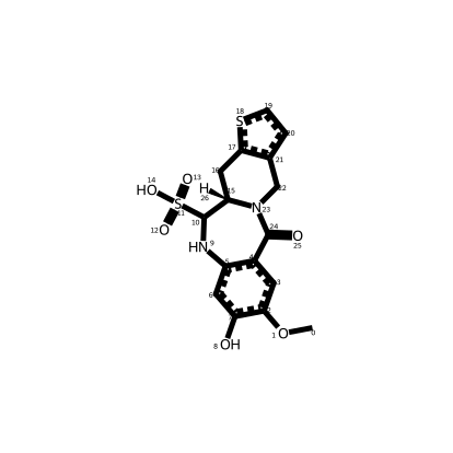 COc1cc2c(cc1O)NC(S(=O)(=O)O)[C@@H]1Cc3sccc3CN1C2=O